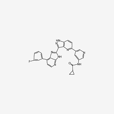 O=C(Nc1cncc(-c2ccc3[nH]nc(-c4nc5c(-c6cccc(F)c6)ccnc5[nH]4)c3n2)c1)C1CC1